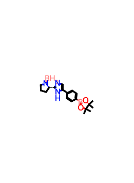 BN1CCC[C@H]1c1ncc(-c2ccc(B3OC(C)(C)C(C)(C)O3)cc2)[nH]1